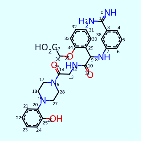 N=C(N)c1cccc(NC(C(=O)NCC(=O)N2CCN(c3ccccc3O)CC2)c2ccccc2OCC(=O)O)c1